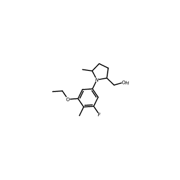 CCOc1cc(N2C(C)CCC2CO)cc(F)c1C